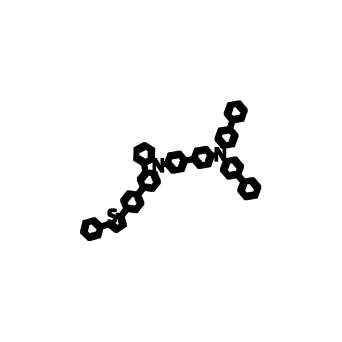 c1ccc(-c2ccc(N(c3ccc(-c4ccccc4)cc3)c3ccc(-c4ccc(-n5c6ccccc6c6cc(-c7ccc(-c8ccc(-c9ccccc9)s8)cc7)ccc65)cc4)cc3)cc2)cc1